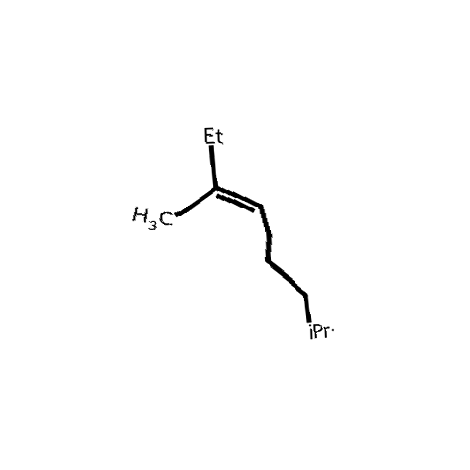 CCC(C)=CCC[C](C)C